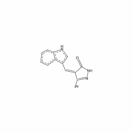 CC(C)C1=NNC(=O)C1=Cc1c[nH]c2ccccc12